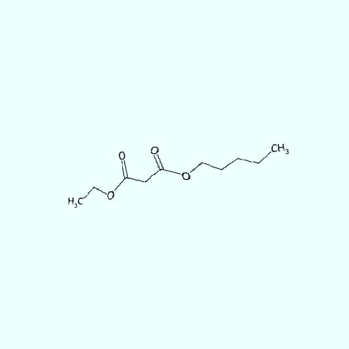 CCCCCOC(=O)CC(=O)OCC